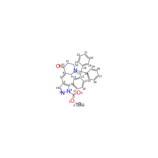 CC(C)(C)OC(=O)n1cc(/C=C2\CN(C(c3ccccc3)(c3ccccc3)c3ccccc3)CCC2=O)cn1